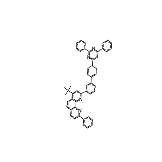 CC(C)(C)c1cc(-c2cccc(C3=CCC(c4cc(-c5ccccc5)nc(-c5ccccc5)n4)C=C3)c2)nc2c1ccc1ccc(-c3ccccc3)nc12